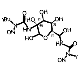 CCCCN(N=O)C(=O)NC(O)[C@H]1OC(O)[C@@](O)(NC(=O)N(CCCC)N=O)[C@@H](O)[C@@H]1O